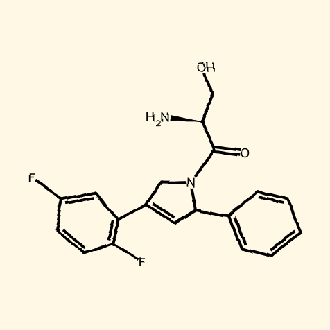 N[C@@H](CO)C(=O)N1CC(c2cc(F)ccc2F)=CC1c1ccccc1